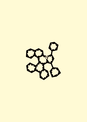 c1ccc(-c2cc(-c3ccccc3)n3c4ccc5ccccc5c4c4c5ccccc5c5ccccc5c4c23)cc1